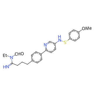 CCN(C=O)C(=N)CCCc1ccc(-c2ccc(NSc3ccc(OC)cc3)cn2)cc1